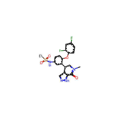 CCS(=O)(=O)Nc1ccc(Oc2ccc(F)cc2F)c(-c2cn(C)c(=O)c3[nH]ncc23)c1